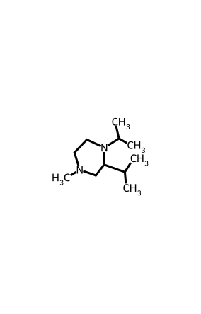 CC(C)C1CN(C)CCN1C(C)C